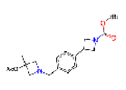 CC(=O)OC1(C)CN(Cc2ccc(C3CN(C(=O)OC(C)(C)C)C3)cc2)C1